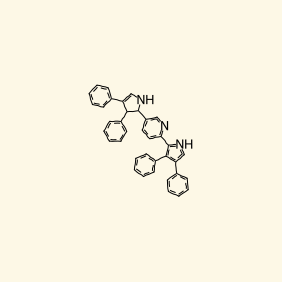 C1=C(c2ccccc2)C(c2ccccc2)C(c2ccc(-c3[nH]cc(-c4ccccc4)c3-c3ccccc3)nc2)N1